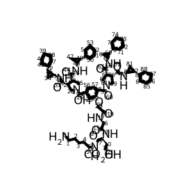 NCCCC[C@H](NC(=O)[C@H](CCO)NC(=O)CNC(=O)COc1cc(C(O)N2C[C@@H](C(=O)N[C@H]3C[C@@H]3c3ccccc3)[C@H](C(=O)N[C@H]3C[C@@H]3c3ccccc3)C2)ccc1C(=O)N1C[C@@H](C(=O)N[C@H]2C[C@@H]2c2ccccc2)[C@H](C(=O)N[C@H]2C[C@@H]2c2ccccc2)C1)C(=O)O